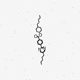 CCCCCc1cnc(-c2ccc(C(=O)OC3CCC(CCCCC)CC3)cc2)nc1